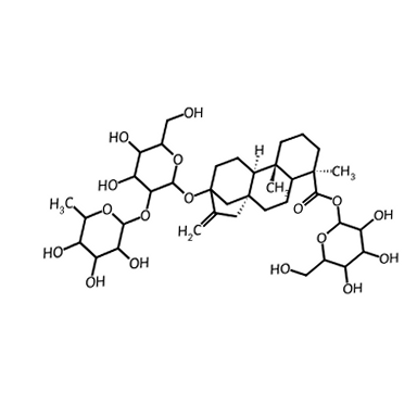 C=C1C[C@@]23CCC4[C@](C)(C(=O)OC5OC(CO)C(O)C(O)C5O)CCC[C@@]4(C)[C@@H]2CCC1(OC1OC(CO)C(O)C(O)C1OC1OC(C)C(O)C(O)C1O)C3